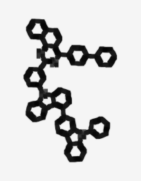 c1ccc(-c2ccc(-c3nc(-c4cccc(-n5c6ccccc6c6c(-c7ccc8c9ccccc9n(-c9ccccc9)c8c7)cccc65)c4)nc4c3ccc3ccccc34)cc2)cc1